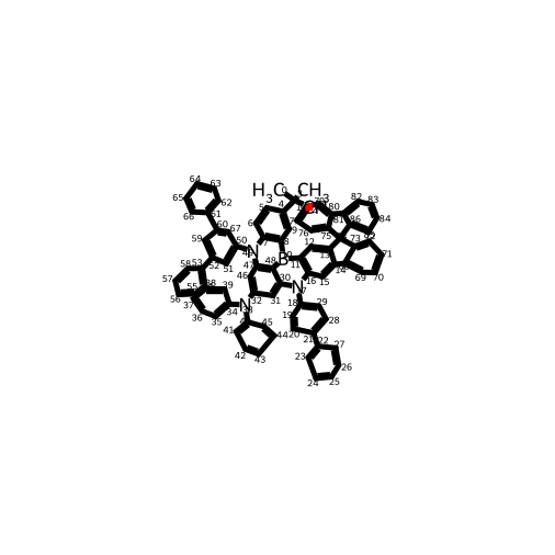 CC(C)(C)c1ccc2c(c1)B1c3cc4c(cc3N(c3ccc(-c5ccccc5)cc3)c3cc(N(c5ccccc5)c5ccccc5)cc(c31)N2c1cc(-c2ccccc2)cc(-c2ccccc2)c1)-c1ccccc1C41c2ccccc2-c2ccccc21